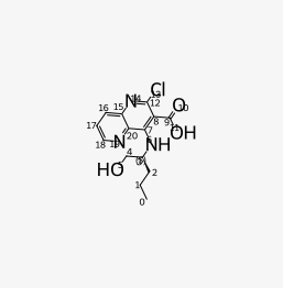 CCC[C@@H](CO)Nc1c(C(=O)O)c(Cl)nc2cccnc12